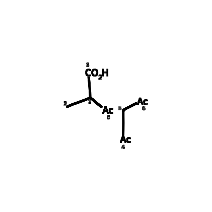 CC(=O)C(C)C(=O)O.CC(=O)CC(C)=O